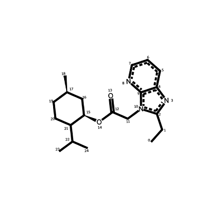 CCc1nc2cccnc2n1CC(=O)O[C@@H]1C[C@H](C)CCC1C(C)C